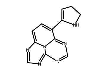 C1=NC2=CC=C(C3=CCCN3)C3=NC=NC(=N1)N23